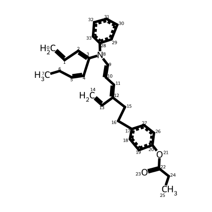 C=C/C=C(\C=C/CC)N(/C=C/C=C(\C=C)CCc1ccc(OC(=O)CC)cc1)c1ccccc1